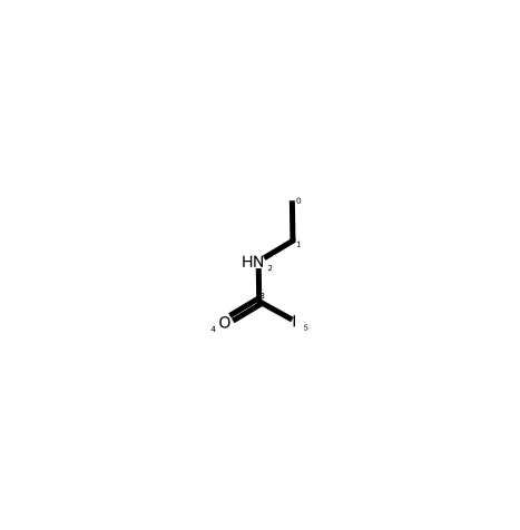 CCNC(=O)I